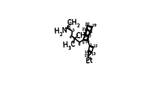 C=C(N)CCC(C)(C)Cc1c(C2=CC3=C2C3CC)c2c3ccc3c12